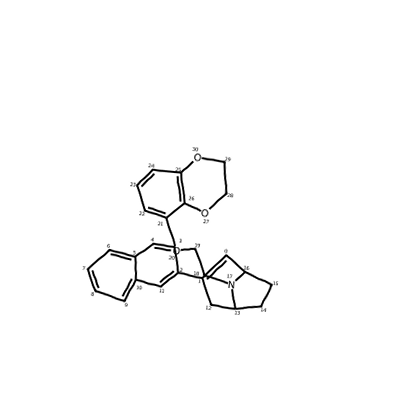 C1=C(c2ccc3ccccc3c2)CC2CCC1N2CCOc1cccc2c1OCCO2